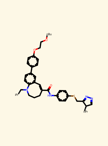 CCCCOCCOc1ccc(-c2ccc3c(c2)C=C(C(=O)Nc2ccc(SCC4=NN=CC4CCC)cc2)CCCN3CC(C)C)cc1